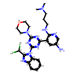 CN(C)CCCNc1ncc(N)cc1-c1nc(N2CCOCC2)nc(-n2c(C(F)F)nc3ccccc32)n1